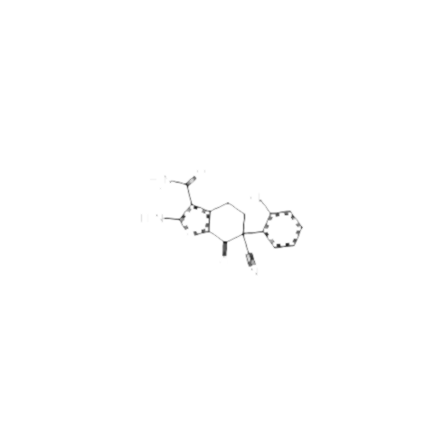 N#CC1(c2ccccc2Cl)CCc2c(sc(N)c2C(N)=O)C1=O